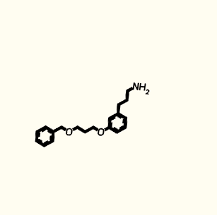 NCCCc1cccc(OCCCOCc2ccccc2)c1